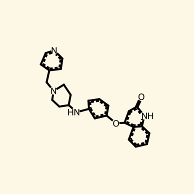 O=c1cc(Oc2cccc(NC3CCN(Cc4ccncc4)CC3)c2)c2ccccc2[nH]1